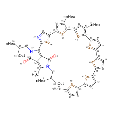 CCCCCCCCC(CCCCCC)CN1C(=O)C2=C(c3ncc(-c4cc(CCCCCC)c(-c5cc(CCCCCC)c(-c6ccc(-c7ccc(-c8ccc(-c9ccc(CCCCCC)s9)s8)s7)s6)s5)s4)s3)N(CC(CCCCCC)CCCCCCCC)C(=O)C2=C1C